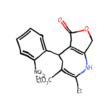 CCOC(=O)C1=C(CC)NC2=C(C(=O)OC2)C1c1ccccc1[N+](=O)[O-]